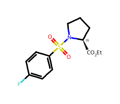 CCOC(=O)[C@@H]1CCCN1S(=O)(=O)c1ccc(F)cc1